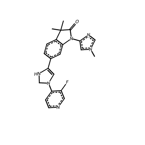 Cn1cnc(N2C(=O)C(C)(C)c3ccc(C4=CN(c5ccncc5F)CN4)cc32)c1